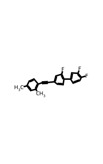 Cc1ccc(C#Cc2ccc(-c3ccc(F)c(F)c3)c(F)c2)c(C)c1